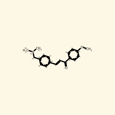 COc1ccc(C(=O)C=Cc2ccc(CN(C)C)cc2)cc1